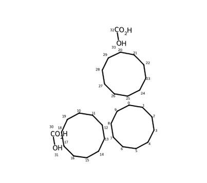 C1CCCCCCCCC1.C1CCCCCCCCC1.C1CCCCCCCCC1.O=C(O)O.O=C(O)O